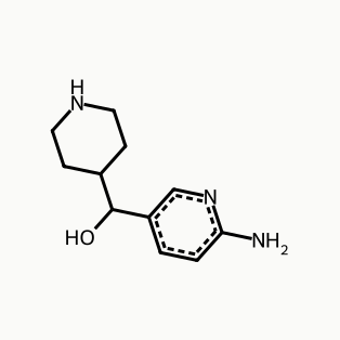 Nc1ccc(C(O)C2CCNCC2)cn1